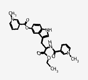 CCOC(=O)C(Cc1c[nH]c2ccc(OC(=O)C3=CN(C)C=CC3)cc12)NC(=O)C1=CN(C)C=CC1